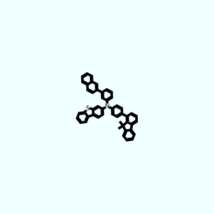 CC1(C)c2ccccc2-c2cccc(-c3ccc(N(c4cccc(-c5ccc6ccccc6c5)c4)c4ccc5c(c4)sc4ccccc45)cc3)c21